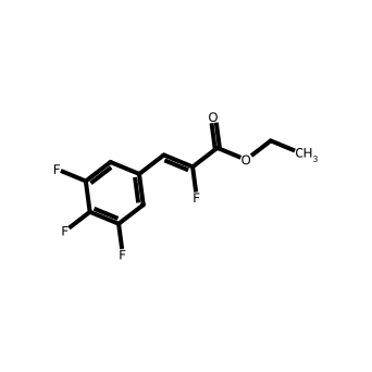 CCOC(=O)C(F)=Cc1cc(F)c(F)c(F)c1